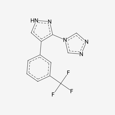 FC(F)(F)c1cccc(-c2c[nH]nc2-n2cnnc2)c1